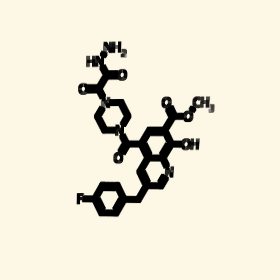 COC(=O)c1cc(C(=O)N2CCN(C(=O)C(=O)NN)CC2)c2cc(Cc3ccc(F)cc3)cnc2c1O